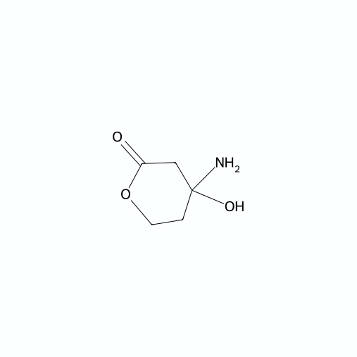 NC1(O)CCOC(=O)C1